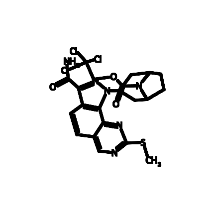 CSc1ncc2ccc3c(C(N)=O)nn(C4CC5CCC(C4)N5C(=O)OCC(Cl)(Cl)Cl)c3c2n1